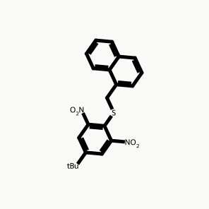 CC(C)(C)c1cc([N+](=O)[O-])c(SCc2cccc3ccccc23)c([N+](=O)[O-])c1